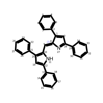 C1=C(c2ccccc2)/C(=C/c2[nH]c(-c3ccccc3)cc2-c2ccccc2)N=C1c1ccccc1